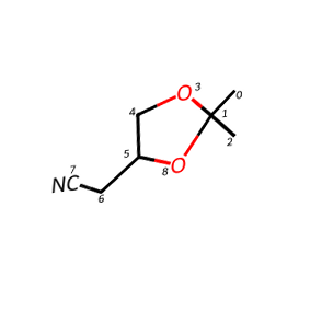 CC1(C)OCC(CC#N)O1